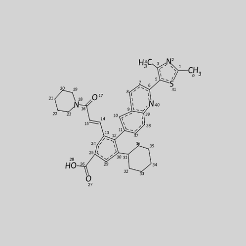 Cc1nc(C)c(-c2ccc3cc(-c4c(/C=C/C(=O)N5CCCCC5)cc(C(=O)O)cc4C4CCCCC4)ccc3n2)s1